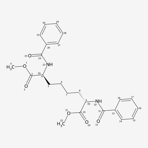 COC(=O)[C@H](CCCC[C@H](NC(=O)c1ccccc1)C(=O)OC)NC(=O)c1ccccc1